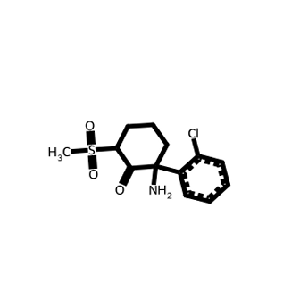 CS(=O)(=O)C1CCCC(N)(c2ccccc2Cl)C1=O